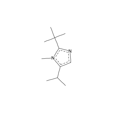 CC(C)c1cnc(C(C)(C)C)n1C